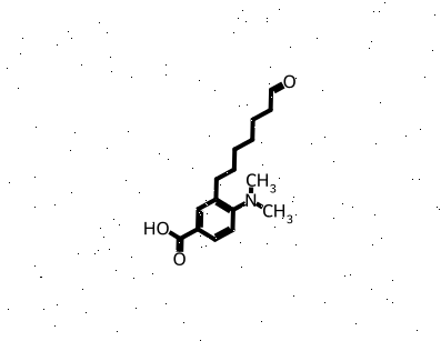 CN(C)c1ccc(C(=O)O)cc1CCCCCCC=O